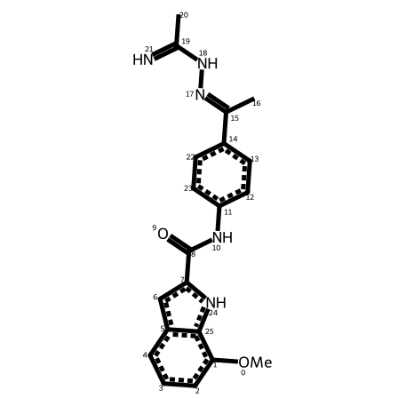 COc1cccc2cc(C(=O)Nc3ccc(C(C)=NNC(C)=N)cc3)[nH]c12